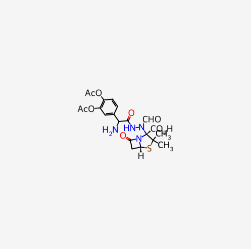 CC(=O)Oc1ccc(C(N)C(=O)NN(C=O)[C@@]2(C(=O)O)N3C(=O)C[C@H]3SC2(C)C)cc1OC(C)=O